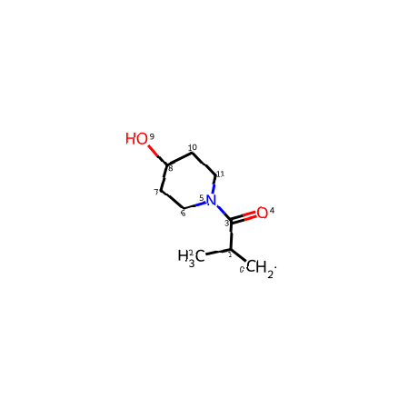 [CH2]C(C)C(=O)N1CCC(O)CC1